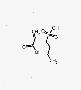 C=CC(=O)O.CCCCS(=O)(=O)O